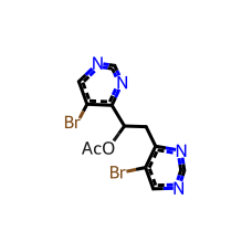 CC(=O)OC(Cc1ncncc1Br)c1ncncc1Br